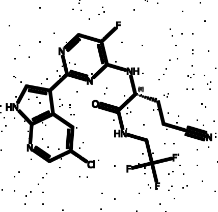 N#CCC[C@@H](Nc1nc(-c2c[nH]c3ncc(Cl)cc23)ncc1F)C(=O)NCC(F)(F)F